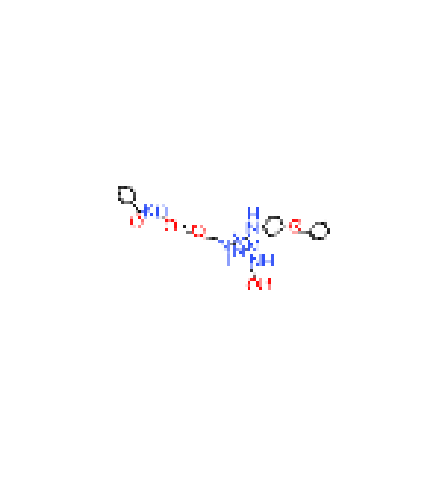 O=C(NCCOCCOCCNc1nc(NCCO)nc(Nc2ccc(OCc3ccccc3)cc2)n1)c1ccccc1